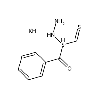 NN[SH](C=S)C(=O)c1ccccc1.[KH]